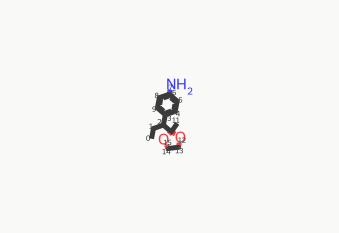 CCC(c1ccc(N)cc1)C1(C)OCCO1